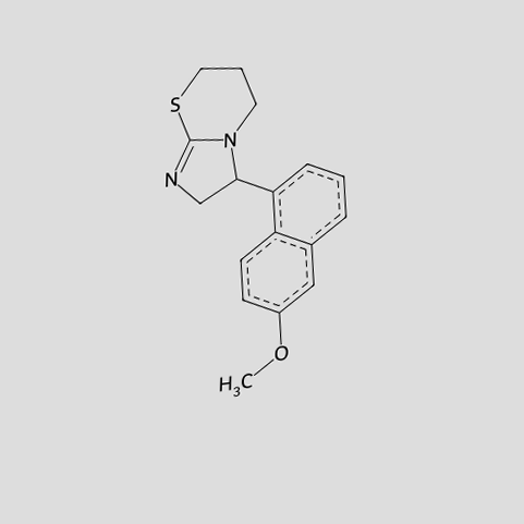 COc1ccc2c(C3CN=C4SCCCN43)cccc2c1